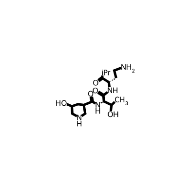 CC(C)C(=O)[C@H](CCN)NC(=O)[C@@H](NC(=O)C1CNCC(O)C1)C(C)O